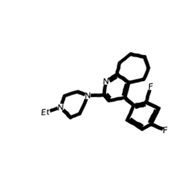 CCN1CCN(c2cc(-c3ccc(F)cc3F)c3c(n2)CCCCC3)CC1